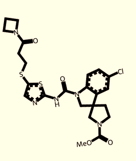 COC(=O)N1CCC2(C1)CN(C(=O)Nc1ncc(SCCC(=O)N3CCC3)s1)c1ccc(Cl)cc12